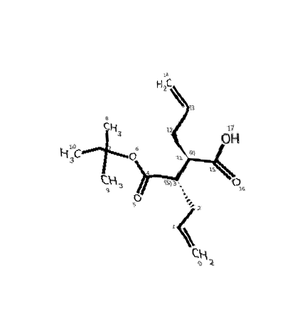 C=CC[C@H](C(=O)OC(C)(C)C)[C@@H](CC=C)C(=O)O